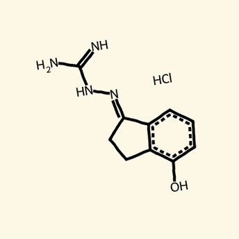 Cl.N=C(N)NN=C1CCc2c(O)cccc21